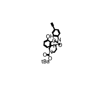 C#Cc1ccc(N=S(=O)(Oc2ccccc2O)N2CCN(C(=O)OC(C)(C)C)CC2)cc1